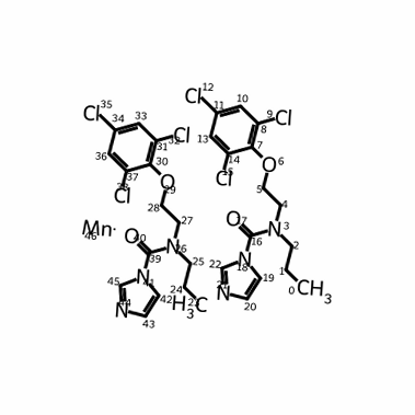 CCCN(CCOc1c(Cl)cc(Cl)cc1Cl)C(=O)n1ccnc1.CCCN(CCOc1c(Cl)cc(Cl)cc1Cl)C(=O)n1ccnc1.[Mn]